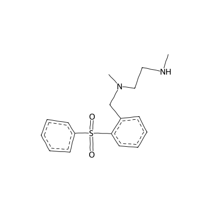 CNCCN(C)Cc1ccccc1S(=O)(=O)c1ccccc1